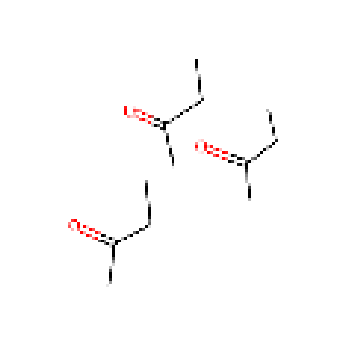 CCC(C)=O.CCC(C)=O.CCC(C)=O